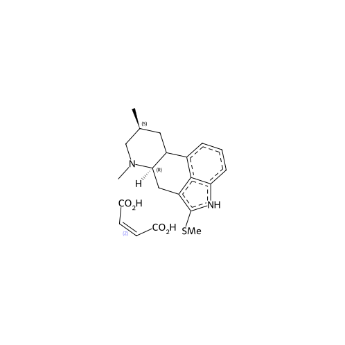 CSc1[nH]c2cccc3c2c1C[C@@H]1C3C[C@H](C)CN1C.O=C(O)/C=C\C(=O)O